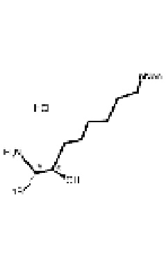 CCCCCCCCCCCCCCC[C@@H](O)[C@@H](N)CCC.Cl